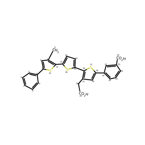 Cc1cc(-c2ccccc2)sc1-c1ccc(-c2sc(-c3cccc(C(=O)O)c3)cc2CC(=O)O)s1